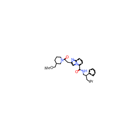 COCC1CCCN(C(=O)Cc2cn3c(C(=O)NCC(CC(C)C)c4ccccc4)cccc3n2)C1